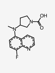 CN(c1ccc(F)c2ncccc12)C1CCN(C(=O)O)C1